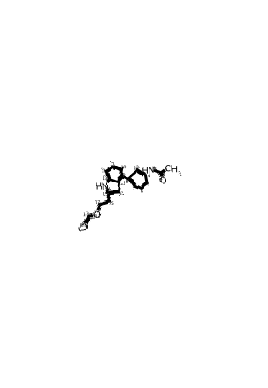 CC(=O)Nc1cccc(-c2cccc3[nH]c(CCOC=O)cc23)c1